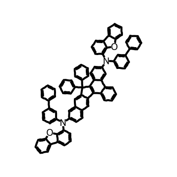 c1ccc(-c2cccc(N(c3ccc4cc5c(cc4c3)C(c3ccccc3)(c3ccccc3)c3c-5c4ccccc4c4cc(N(c5cccc(-c6ccccc6)c5)c5cccc6c5oc5ccccc56)ccc34)c3cccc4c3oc3ccccc34)c2)cc1